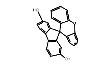 Oc1ccc2c(c1)C1(c3ccccc3Oc3ccccc31)c1cc(O)ccc1-2